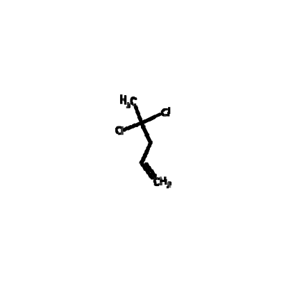 C=CCC(C)(Cl)Cl